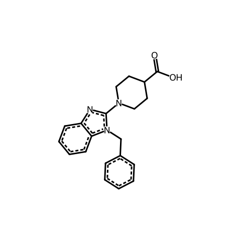 O=C(O)C1CCN(c2nc3ccccc3n2Cc2ccccc2)CC1